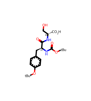 CC(C)(C)OC(=O)N[C@@H](Cc1ccc(OC(C)(C)C)cc1)C(=O)N[C@H](CO)C(=O)O